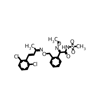 CON=C(C(=O)NS(C)(=O)=O)c1ccccc1CON=C(C)C=Cc1c(Cl)cccc1Cl